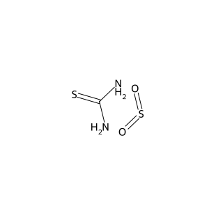 NC(N)=S.O=S=O